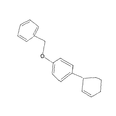 C1=CC(c2ccc(OCc3ccccc3)cc2)CCC1